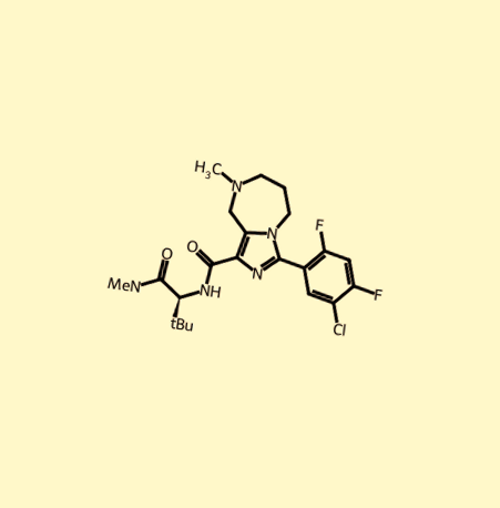 CNC(=O)[C@@H](NC(=O)c1nc(-c2cc(Cl)c(F)cc2F)n2c1CN(C)CCC2)C(C)(C)C